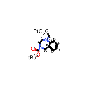 CCOC(=O)CN1CCN(C(=O)OC(C)(C)C)Cc2ccccc21